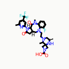 Cc1cc(C(F)(F)F)cc(N2C(=O)C[C@@H]3CN(CCN4C[C@@H](C)NC5(CN(C(=O)O)C5)C4C)c4c(F)cccc4N(C)C(=O)[C@H]32)n1